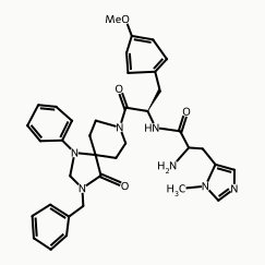 COc1ccc(C[C@@H](NC(=O)C(N)Cc2cncn2C)C(=O)N2CCC3(CC2)C(=O)N(Cc2ccccc2)CN3c2ccccc2)cc1